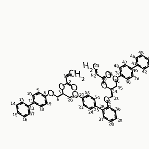 C=CC(=O)OC(COc1ccc(-c2ccccc2)cc1)COc1ccc(-c2ccccc2OCC(COc2ccc(-c3ccccc3)cc2)OC(=O)C=C)cc1